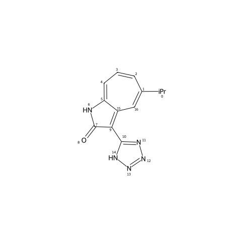 CC(C)c1cccc2[nH]c(=O)c(-c3nnn[nH]3)c-2c1